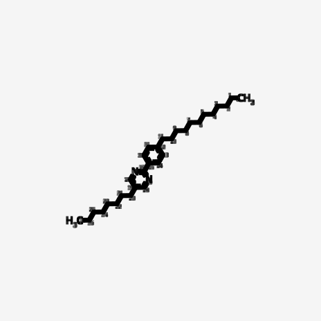 CCCCCCCCCCCCc1ccc(-c2ncc(CCCCCCCC)cn2)cc1